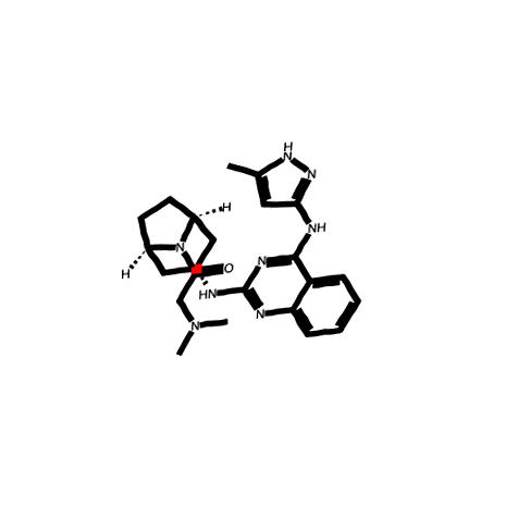 Cc1cc(Nc2nc(N[C@@H]3C[C@H]4CC[C@@H](C3)N4C(=O)CN(C)C)nc3ccccc23)n[nH]1